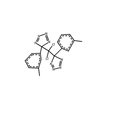 Cc1cccc(C2(C(Cl)(Cl)C3(c4cccc(C)c4)N=NN=N3)N=NN=N2)c1